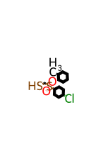 Cc1ccccc1.O=S(=O)(CS)c1ccc(Cl)cc1